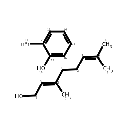 CC(C)=CCC/C(C)=C/CO.CCCc1ccccc1O